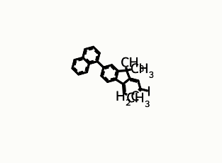 C=C(I)/C=C1\C(=C/C)c2ccc(-c3cccc4ccccc34)cc2C1(C)C